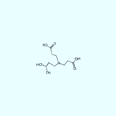 O=C(O)CCN(CCC(=O)O)CCC(O)O